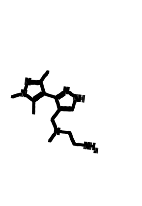 Cc1nn(C)c(C)c1-c1n[nH]cc1CN(C)CCN